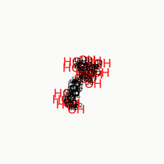 CC1(C)CC2C3=CCC4[C@@]5(C)CC[C@H](O[C@@H]6OC(C(=O)O)[C@@H](O)C(O[C@@H]7OC[C@@H](CO)C(O)[C@@H]7O)[C@@H]6O[C@@H]6OC(CO)[C@H](O)C(O)[C@@H]6O)C(C)(C)C5CC[C@@]4(C)[C@]3(C)[C@@H](O)[C@@H](O)[C@@]2(CO)[C@@H](O)[C@@H]1O